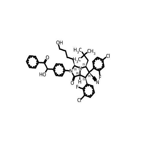 CC(C)(C)C[C@@H]1N2[C@H](CCCCO)N(c3ccc(C(O)C(=O)c4ccccc4)cc3)C(=O)[C@H]2[C@H](c2cccc(Cl)c2F)[C@@]1(C#N)c1ccc(Cl)cc1F